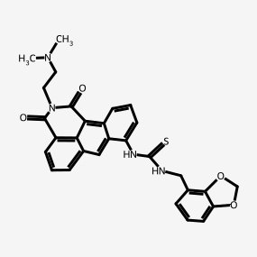 CN(C)CCN1C(=O)c2cccc3cc4c(NC(=S)NCc5cccc6c5OCO6)cccc4c(c23)C1=O